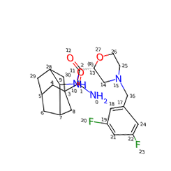 NC(=O)C12CC3CC(C1)C(NC(=O)[C@H]1CN(Cc4cc(F)cc(F)c4)CCO1)C(C3)C2